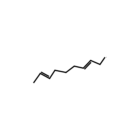 [CH2]CC=CCCCC=CC